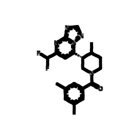 Cc1cc(C)cc(C(=O)N2CCC(C)[C@@H](c3cc(C(F)F)nc4ncnn34)C2)c1